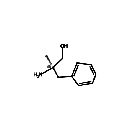 C[C@](N)(CO)Cc1ccccc1